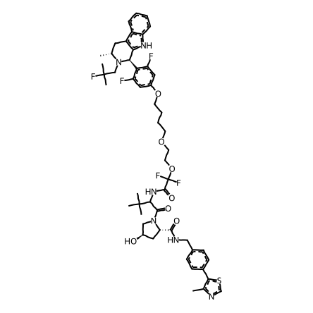 Cc1ncsc1-c1ccc(CNC(=O)[C@@H]2C[C@@H](O)CN2C(=O)C(NC(=O)C(F)(F)OCCOCCCCOc2cc(F)c([C@@H]3c4[nH]c5ccccc5c4C[C@@H](C)N3CC(C)(C)F)c(F)c2)C(C)(C)C)cc1